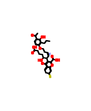 CCCc1c(OCC/C=C\C(c2c(C(=O)O)oc3c(c2=O)=CCC(=S)C=3)C(O)CCCC(=O)O)ccc(C(C)=O)c1O